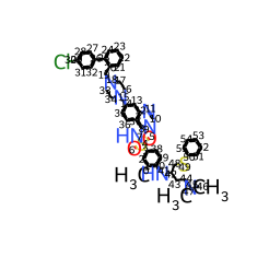 Cc1cc(S(=O)(=O)Nc2ncnc3cc(N4CCN(Cc5ccccc5-c5ccc(Cl)cc5)CC4)ccc23)ccc1NC(CCN(C)C)CSc1ccccc1